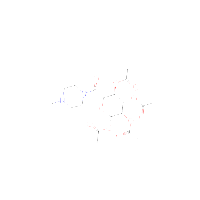 CC(=O)O[C@@H]1O[C@H](C(=O)N2CCN(C)CC2)[C@@H](OC(C)=O)[C@H](OC(C)=O)[C@H]1OC(C)=O